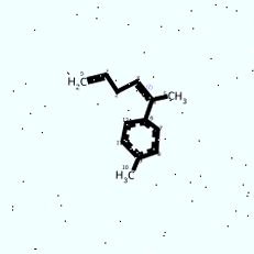 C=CC/C=C(/C)c1ccc(C)cc1